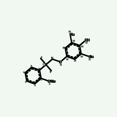 COc1ccccc1[Si](C)(C)COc1cc(C(C)(C)C)c(O)c(C(C)(C)C)c1